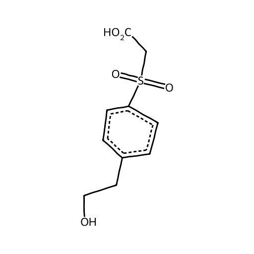 O=C(O)CS(=O)(=O)c1ccc(CCO)cc1